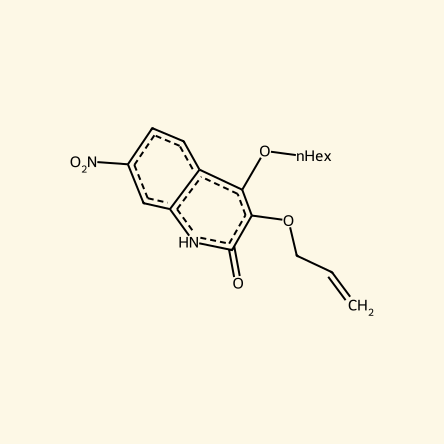 C=CCOc1c(OCCCCCC)c2ccc([N+](=O)[O-])cc2[nH]c1=O